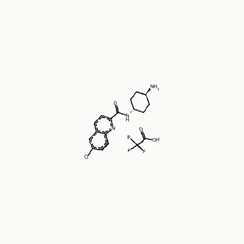 N[C@H]1CC[C@H](NC(=O)c2ccc3cc(Cl)ccc3n2)CC1.O=C(O)C(F)(F)F